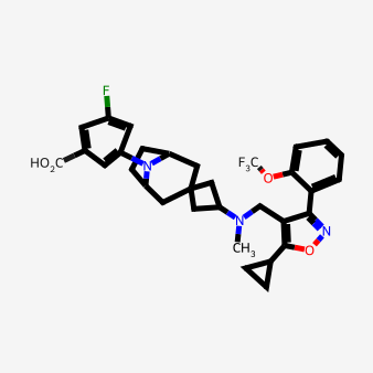 CN(Cc1c(-c2ccccc2OC(F)(F)F)noc1C1CC1)C1CC2(C1)CC1CCC(C2)N1c1cc(F)cc(C(=O)O)c1